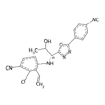 [C-]#[N+]c1ccc(-c2nnc([C@H](Nc3ccc([N+]#[C-])c(Cl)c3C=C)C(C)O)o2)cc1